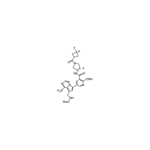 CONCc1cc(-c2cnc(OC)c(C(=O)N[C@@H]3CN(C(=O)C4CC(F)(F)C4)C[C@@H]3F)c2)n2ncnc(N)c12